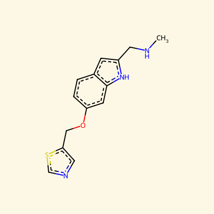 CNCc1cc2ccc(OCc3cncs3)cc2[nH]1